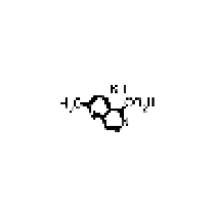 Cc1ccc2c(C(=O)O)nccc2n1.[KH]